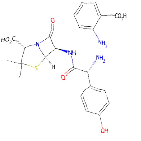 CC1(C)S[C@@H]2[C@H](NC(=O)[C@H](N)c3ccc(O)cc3)C(=O)N2[C@H]1C(=O)O.Nc1ccccc1C(=O)O